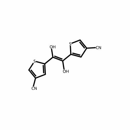 N#Cc1csc(/C(O)=C(\O)c2cc(C#N)cs2)c1